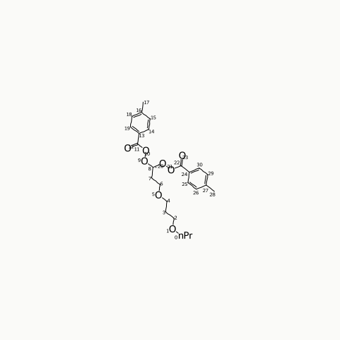 [CH2]CCOCCCOCC[C](OOC(=O)c1ccc(C)cc1)OOC(=O)c1ccc(C)cc1